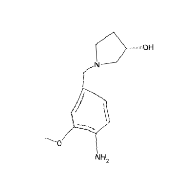 COc1cc(CN2CC[C@H](O)C2)ccc1N